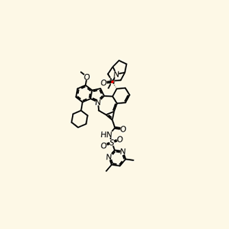 COc1ccc(C2CCCCC2)c2c1cc1n2CC2=C(C(=O)NS(=O)(=O)c3nc(C)cc(C)n3)C2=C2C=CC[C@@H](C(=O)N3C4CCC3CN(C)C4)C21